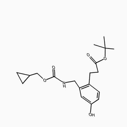 CC(C)(C)OC(=O)CCc1ccc(O)cc1CNC(=O)OCC1CC1